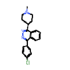 CN1CCC(c2nnc(-c3ccc(Cl)cc3)c3ccccc23)CC1